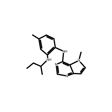 CCC(C)Nc1cc(C)ccc1Nc1ncnc2ccn(C)c12